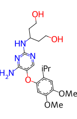 COc1cc(Oc2cnc(NC(CCO)CCO)nc2N)c(C(C)C)cc1OC